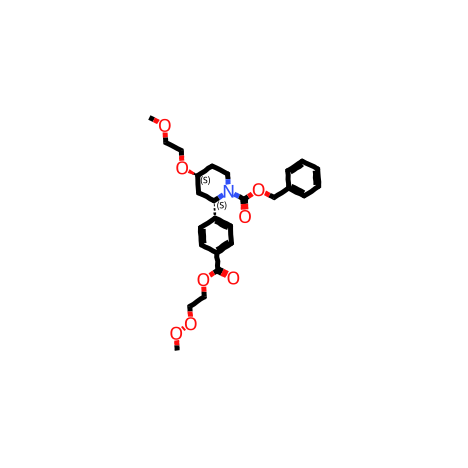 COCCO[C@H]1CCN(C(=O)OCc2ccccc2)[C@H](c2ccc(C(=O)OCCOOC)cc2)C1